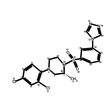 C[C@@H]1CN(c2ccc(Cl)cc2Cl)CCN1S(=O)(=O)c1cccc(-n2cnnc2)c1